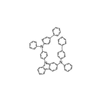 c1ccc(-c2ccc(N(c3ccccc3)c3ccc(-n4c5ccccc5c5ccc(N(c6ccccc6)c6ccc(-c7ccccc7)cc6)cc54)cc3)cc2)cc1